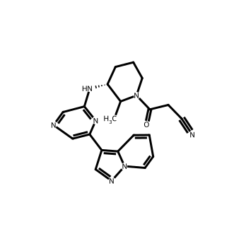 CC1[C@H](Nc2cncc(-c3cnn4ccccc34)n2)CCCN1C(=O)CC#N